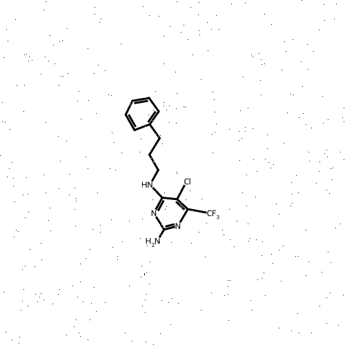 Nc1nc(NCCCc2ccccc2)c(Cl)c(C(F)(F)F)n1